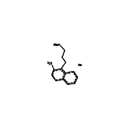 CCCCCCCCCCCCc1c(N)ccc2ccccc12.[Na]